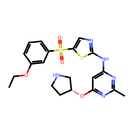 CCOc1cccc(S(=O)(=O)c2cnc(Nc3cc(O[C@@H]4CCNC4)nc(C)n3)s2)c1